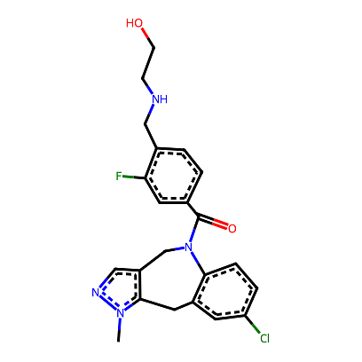 Cn1ncc2c1Cc1cc(Cl)ccc1N(C(=O)c1ccc(CNCCO)c(F)c1)C2